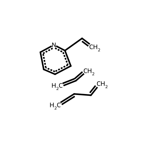 C=C=C.C=CC=C.C=Cc1ccccn1